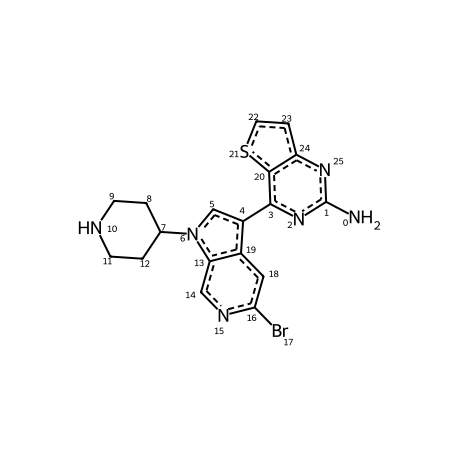 Nc1nc(-c2cn(C3CCNCC3)c3cnc(Br)cc23)c2sccc2n1